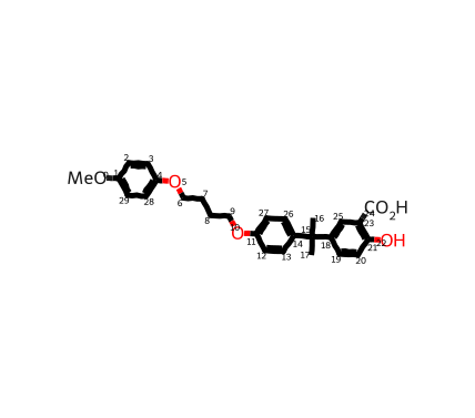 COc1ccc(OCCCCOc2ccc(C(C)(C)c3ccc(O)c(C(=O)O)c3)cc2)cc1